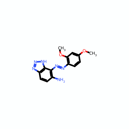 COc1ccc(/N=N/c2c(N)ccc3nn[nH]c23)c(OC)c1